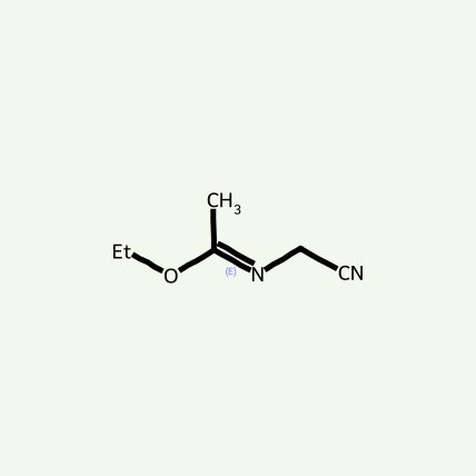 CCO/C(C)=N/CC#N